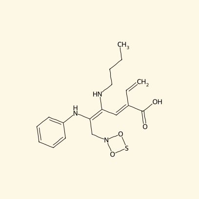 C=C/C(=C\C(NCCCC)=C(/CN1OSO1)Nc1ccccc1)C(=O)O